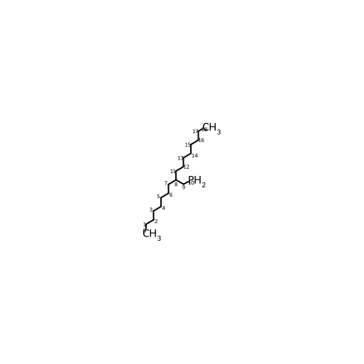 CCCCCCCCC(CP)CCCCCCCC